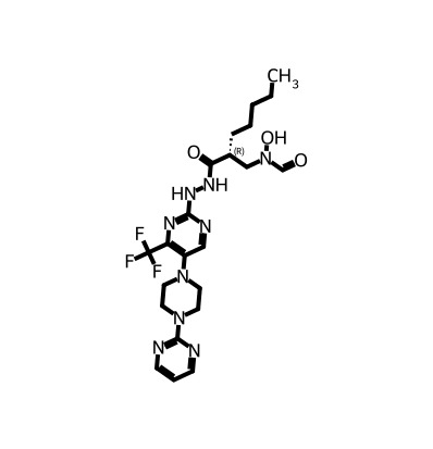 CCCCC[C@H](CN(O)C=O)C(=O)NNc1ncc(N2CCN(c3ncccn3)CC2)c(C(F)(F)F)n1